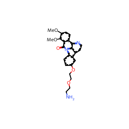 COc1ccc2c(c1OC)c(=O)n1c3ccc(OCCOCCN)cc3c3ccnc2c31